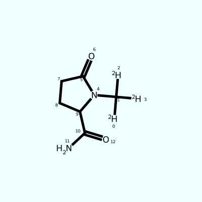 [2H]C([2H])([2H])N1C(=O)CCC1C(N)=O